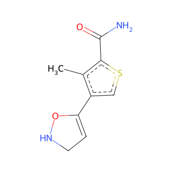 Cc1c(C2=CCNO2)csc1C(N)=O